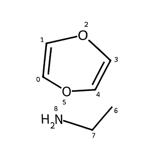 C1=COC=CO1.CCN